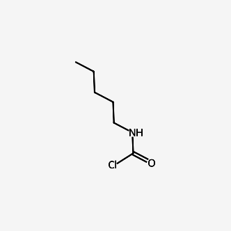 CCCCCNC(=O)Cl